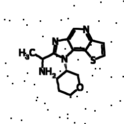 CC(N)c1nc2cnc3ccsc3c2n1[C@H]1CC[CH]OC1